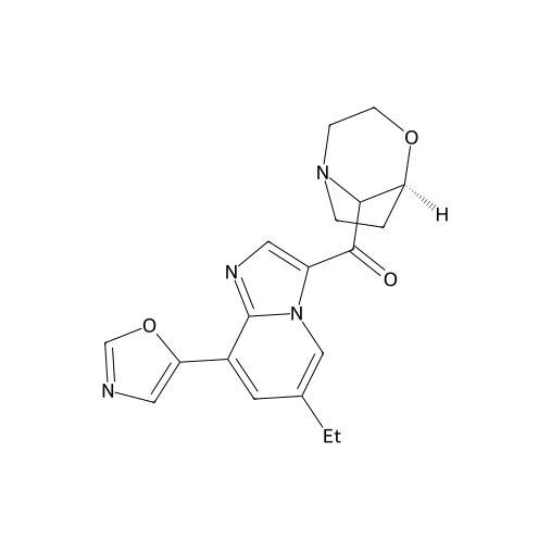 CCc1cc(-c2cnco2)c2ncc(C(=O)C3[C@@H]4CCN3CCO4)n2c1